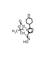 CC(C)(C)OC=O.O/N=C/c1csc(C2CCNCC2)n1